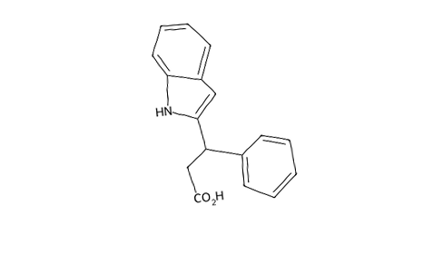 O=C(O)CC(c1ccccc1)c1cc2ccccc2[nH]1